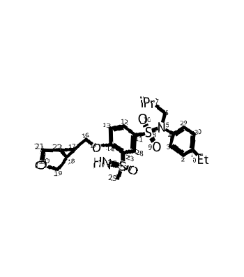 CCc1ccc(N(CC(C)C)S(=O)(=O)c2ccc(OCC3C4COCC43)c(S(C)(=N)=O)c2)cc1